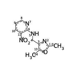 Cc1nc(CNc2ncccc2[N+](=O)[O-])c(C)o1